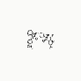 Cc1ccc(-n2c(=O)n(C[C@H]3CC[C@H](NC(=O)c4cc(Cl)cnc4C(F)F)CC3)c3cccnc32)cc1